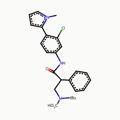 Cn1cccc1-c1ccc(NC(=O)C(CN(C(=O)O)C(C)(C)C)c2ccccc2)cc1Cl